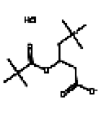 CC(C)(C)C(=O)OC(CC(=O)[O-])C[N+](C)(C)C.Cl